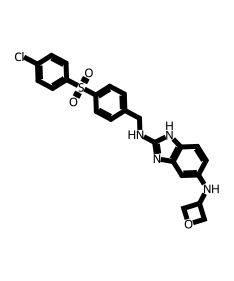 O=S(=O)(c1ccc(Cl)cc1)c1ccc(CNc2nc3cc(NC4COC4)ccc3[nH]2)cc1